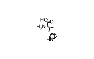 CC(C)[C@H](N)C(=O)O.c1c[nH]cn1